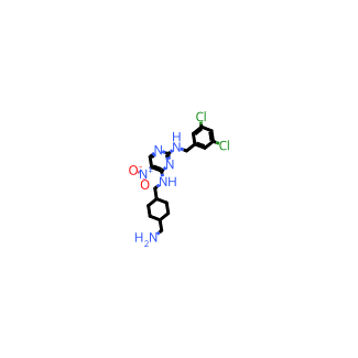 NCC1CCC(CNc2nc(NCc3cc(Cl)cc(Cl)c3)ncc2[N+](=O)[O-])CC1